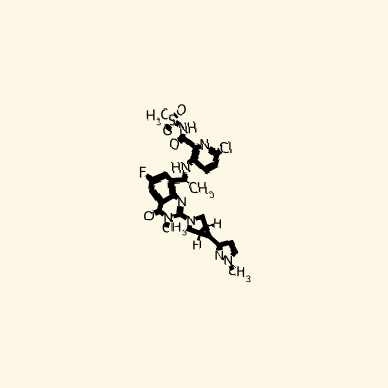 C[C@@H](Nc1ccc(Cl)nc1C(=O)NS(C)(=O)=O)c1cc(F)cc2c(=O)n(C)c(N3C[C@@H]4C(c5ccn(C)n5)[C@@H]4C3)nc12